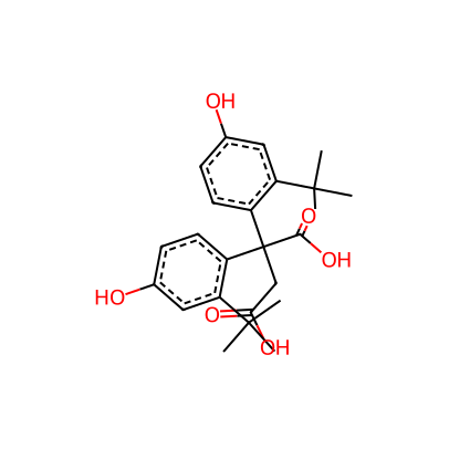 CC(C)(C)c1cc(O)ccc1C(CC(=O)O)(C(=O)O)c1ccc(O)cc1C(C)(C)C